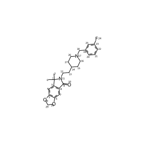 CC1(C)c2cc3c(cc2C(=O)N1CCC1CCN(Cc2cccc(F)c2)CC1)OCO3